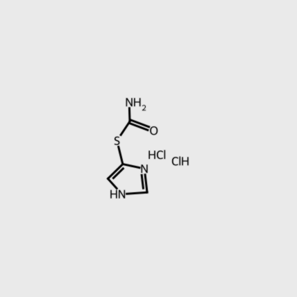 Cl.Cl.NC(=O)Sc1c[nH]cn1